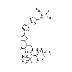 CC1(C)CCN2CCC(C)(C)c3c2c1cc1cc(-c2ccc(-c4ccc(-c5ccc(/C=C(\C#N)C(=O)O)s5)s4)s2)c(=O)oc31